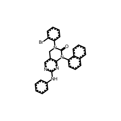 O=C1N(c2ccccc2Br)Cc2cnc(Nc3ccccc3)nc2N1c1cccc2ccccc12